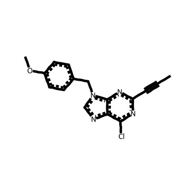 CC#Cc1nc(Cl)c2ncn(Cc3ccc(OC)cc3)c2n1